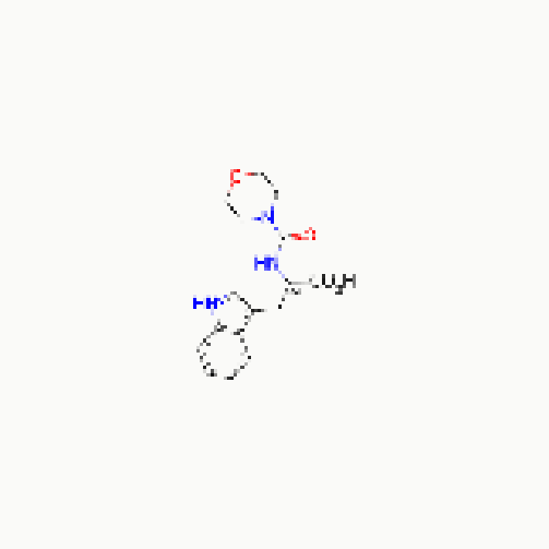 O=C(O)[C@H](Cc1c[nH]c2ccccc12)NC(=O)N1CCOCC1